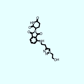 O=C1CCC(N2C(=O)c3cccc(NCCc4cn(CCO)nn4)c3C2=O)C(=O)N1